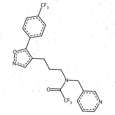 O=C(N(CCCc1cnoc1-c1ccc(C(F)(F)F)cc1)Cc1cccnc1)C(F)(F)F